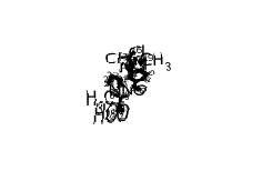 CCC(CN(C(=O)c1ccc2c(c1)nc(C(Cl)Cl)n2C)c1ccccn1)C(=O)O